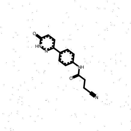 N#CCCC(=O)Nc1ccc(-c2ccc(=O)[nH]n2)cc1